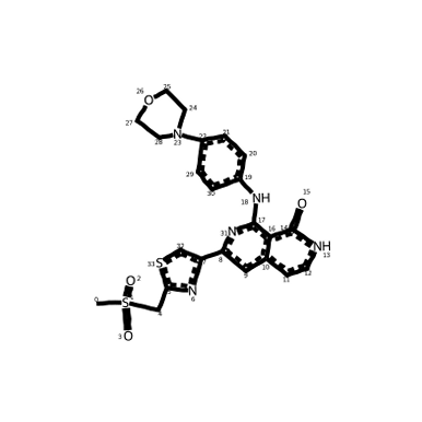 CS(=O)(=O)Cc1nc(-c2cc3cc[nH]c(=O)c3c(Nc3ccc(N4CCOCC4)cc3)n2)cs1